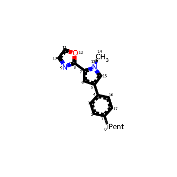 CCCC(C)c1ccc(-c2cc(-c3ncco3)n(C)c2)cc1